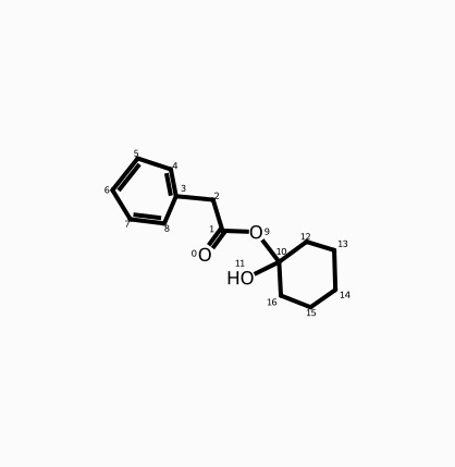 O=C(Cc1ccccc1)OC1(O)CCCCC1